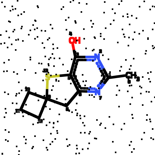 Cc1nc(O)c2c(n1)CC1(CCC1)S2